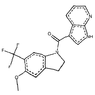 COc1cc2c(cc1C(F)(F)F)N(C(=O)c1c[nH]c3ncccc13)CC2